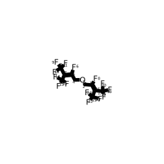 FC(COCC(F)=C(C(F)(F)F)C(F)(F)F)=C(C(F)(F)F)C(F)(F)F